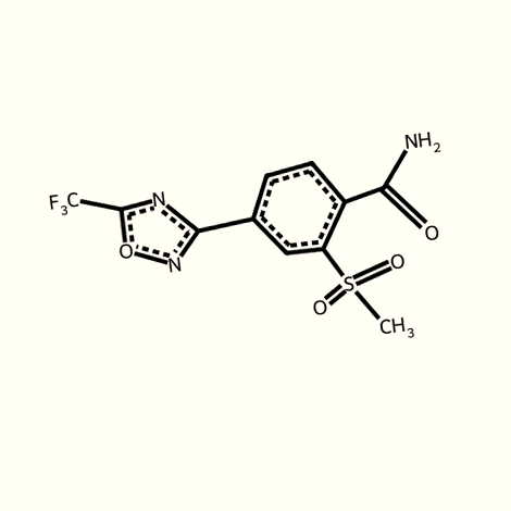 CS(=O)(=O)c1cc(-c2noc(C(F)(F)F)n2)ccc1C(N)=O